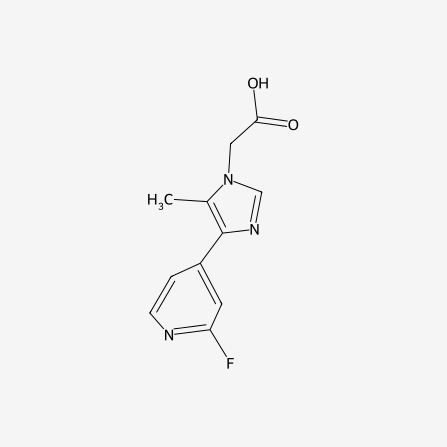 Cc1c(-c2ccnc(F)c2)ncn1CC(=O)O